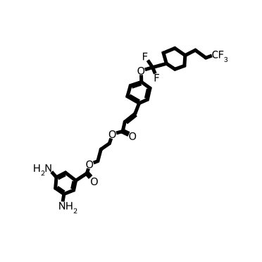 Nc1cc(N)cc(C(=O)OCCCOC(=O)C=Cc2ccc(OC(F)(F)C3CCC(CCC(F)(F)F)CC3)cc2)c1